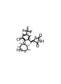 O=C1NC(=O)/C(=C/c2cc(C(F)(F)F)cc(Cl)c2N2CCCNCC2)S1